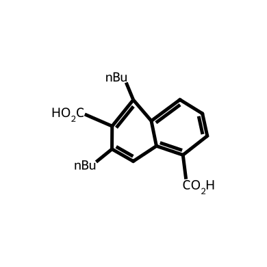 CCCCc1cc2c(C(=O)O)cccc2c(CCCC)c1C(=O)O